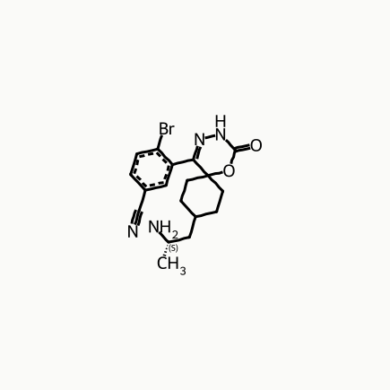 C[C@H](N)CC1CCC2(CC1)OC(=O)NN=C2c1cc(C#N)ccc1Br